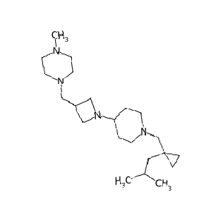 CC(C)CC1(CN2CCC(N3CC(CN4CCN(C)CC4)C3)CC2)CC1